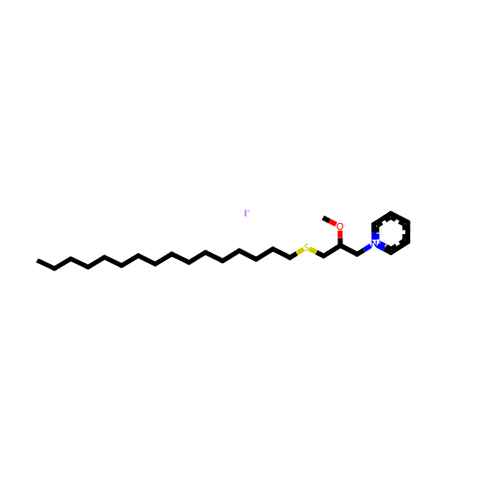 CCCCCCCCCCCCCCCCSCC(C[n+]1ccccc1)OC.[I-]